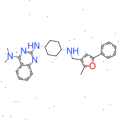 Cc1oc(-c2ccccc2)cc1CN[C@H]1CC[C@@H](Nc2nc(N(C)C)c3ccccc3n2)CC1